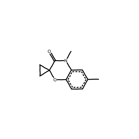 Cc1ccc2c(c1)N(C)C(=O)C1(CC1)O2